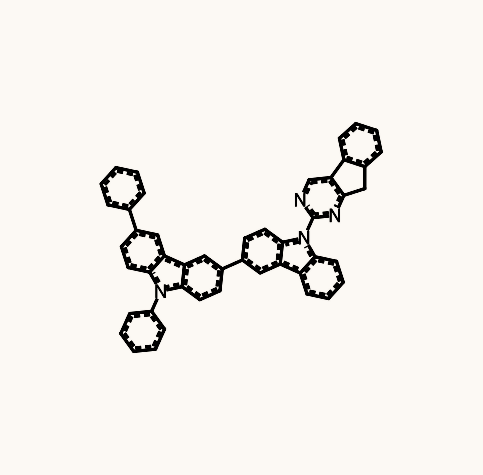 c1ccc(-c2ccc3c(c2)c2cc(-c4ccc5c(c4)c4ccccc4n5-c4ncc5c(n4)Cc4ccccc4-5)ccc2n3-c2ccccc2)cc1